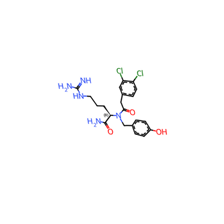 N=C(N)NCCC[C@H](C(N)=O)N(Cc1ccc(O)cc1)C(=O)Cc1ccc(Cl)c(Cl)c1